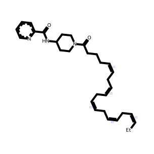 CC/C=C\C/C=C\C/C=C\C/C=C\C/C=C\CCCC(=O)N1CCC(NC(=O)c2ccccn2)CC1